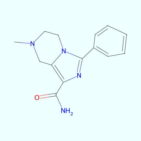 CN1CCn2c(-c3ccccc3)nc(C(N)=O)c2C1